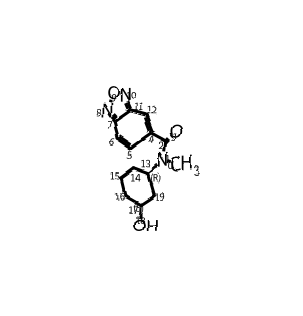 CN(C(=O)c1ccc2nonc2c1)[C@@H]1CCC[C@H](O)C1